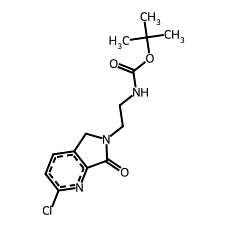 CC(C)(C)OC(=O)NCCN1Cc2ccc(Cl)nc2C1=O